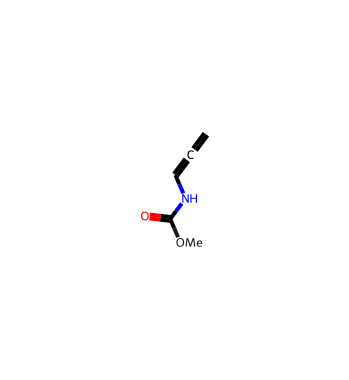 C=C=CNC(=O)OC